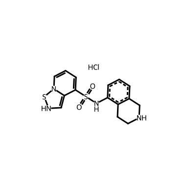 Cl.O=S(=O)(Nc1cccc2c1CCNC2)C1=CC=CN2SNC=C12